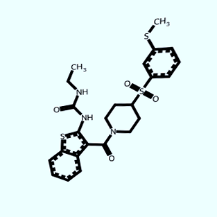 CCNC(=O)Nc1sc2ccccc2c1C(=O)N1CCC(S(=O)(=O)c2cccc(SC)c2)CC1